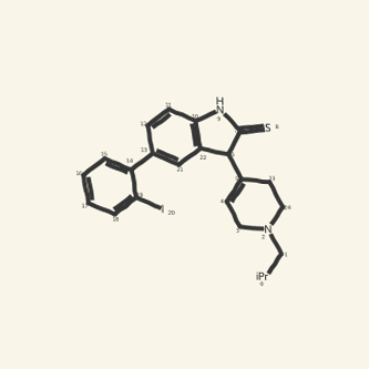 CC(C)CN1CC=C(C2C(=S)Nc3ccc(-c4ccccc4I)cc32)CC1